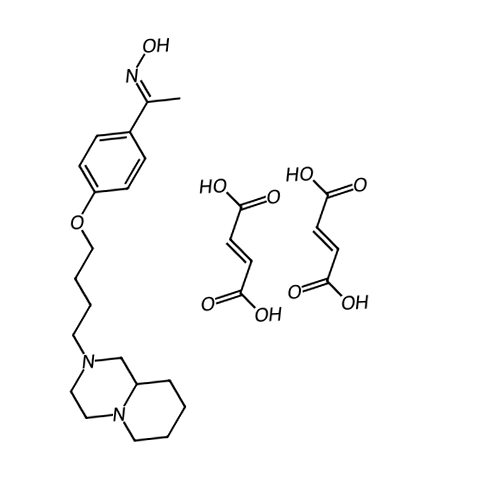 CC(=NO)c1ccc(OCCCCN2CCN3CCCCC3C2)cc1.O=C(O)C=CC(=O)O.O=C(O)C=CC(=O)O